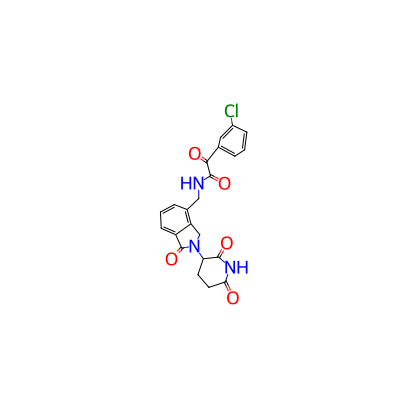 O=C1CCC(N2Cc3c(CNC(=O)C(=O)c4cccc(Cl)c4)cccc3C2=O)C(=O)N1